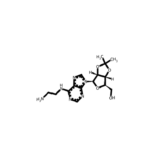 CC1(C)O[C@@H]2[C@H](O1)[C@@H](CO)O[C@H]2n1cnc2c(NCCN)ncnc21